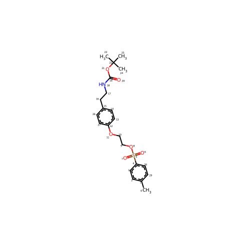 Cc1ccc(S(=O)(=O)OCCOc2ccc(CCNC(=O)OC(C)(C)C)cc2)cc1